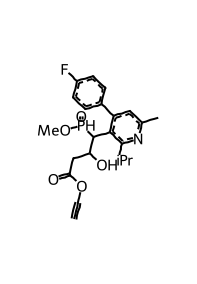 C#COC(=O)CC(O)C(c1c(-c2ccc(F)cc2)cc(C)nc1C(C)C)[PH](=O)OC